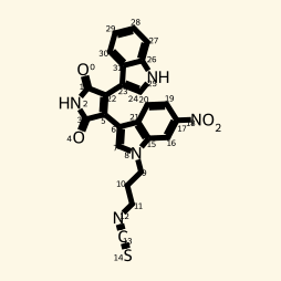 O=C1NC(=O)C(c2cn(CCCN=C=S)c3cc([N+](=O)[O-])ccc23)=C1c1c[nH]c2ccccc12